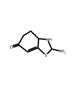 NC1NC2CCC(=O)C=C2S1